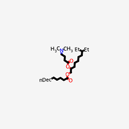 CCCCCCCCCCCCCCC(=O)OCC(CCCCCC(CC)CC)OC(=O)CCCN(C)C